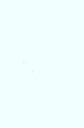 C=C(C)c1c(-c2sc(N3CCCC3)nc2CNC)sc2c1CC(C)(C)CC2